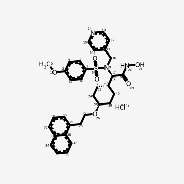 COc1ccc(S(=O)(=O)N(Cc2ccncc2)[C@@H](C(=O)NO)[C@H]2CC[C@H](OCCc3cccc4ccccc34)CC2)cc1.Cl